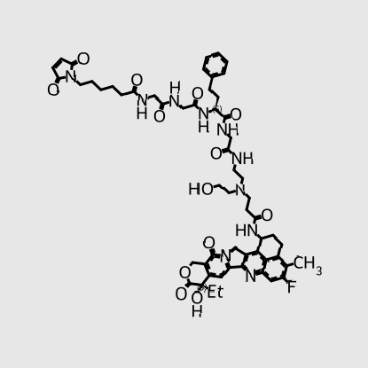 CC[C@@]1(O)C(=O)OCc2c1cc1n(c2=O)Cc2c-1nc1cc(F)c(C)c3c1c2C(NC(=O)CCN(CCO)CCNC(=O)CNC(=O)[C@H](CCc1ccccc1)NC(=O)CNC(=O)CNC(=O)CCCCCN1C(=O)C=CC1=O)CC3